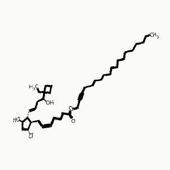 CCCCCCCCCCCCCCCCC#CCOC(=O)CCC/C=C\C[C@@H]1[C@@H](/C=C/C[C@H](O)C2(CC)CCC2)[C@H](O)C[C@H]1Cl